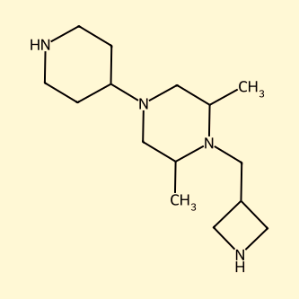 CC1CN(C2CCNCC2)CC(C)N1CC1CNC1